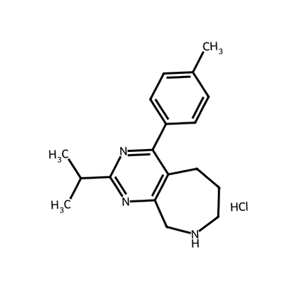 Cc1ccc(-c2nc(C(C)C)nc3c2CCCNC3)cc1.Cl